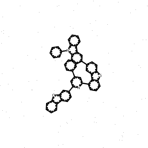 c1ccc(-c2cc(-c3ccc4c(c3)oc3ccccc34)nc(-c3cccc4sc5ccc(-c6ccc7c(c6)c6ccccc6n7-c6ccccc6)cc5c34)c2)cc1